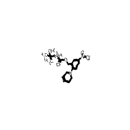 CC(C)(C)NC(=O)OCc1cc([N+](=O)[O-])ccc1N1CCCCC1